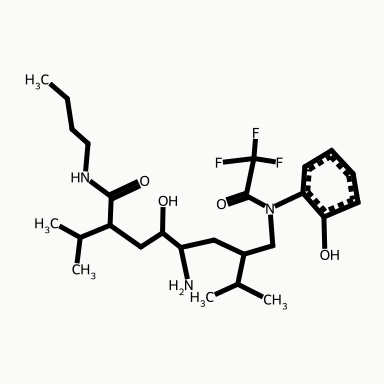 CCCCNC(=O)C(CC(O)C(N)CC(CN(C(=O)C(F)(F)F)c1ccccc1O)C(C)C)C(C)C